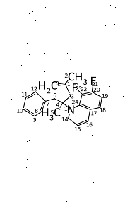 C=C(C)CC(C)(Cc1ccccc1)N1CC=Cc2ccc(F)c(F)c21